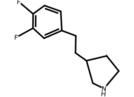 Fc1ccc(CCC2[CH]CNC2)cc1F